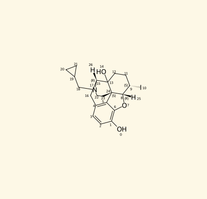 Oc1ccc2c3c1O[C@H]1[C@@H](I)CCC4(O)[C@@H](C2)N(CC2CC2)CC[C@]314